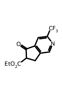 CCOC(=O)C1Cc2cnc(C(F)(F)F)cc2C1=O